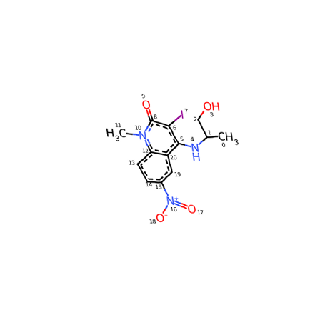 CC(CO)Nc1c(I)c(=O)n(C)c2ccc([N+](=O)[O-])cc12